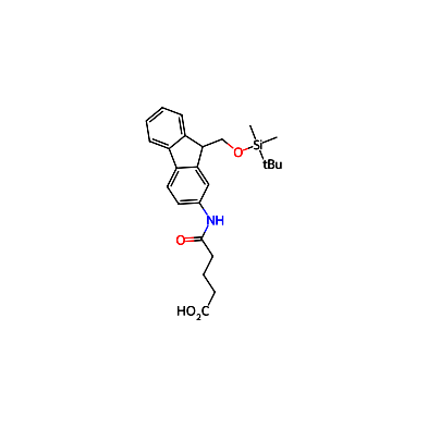 CC(C)(C)[Si](C)(C)OCC1c2ccccc2-c2ccc(NC(=O)CCCC(=O)O)cc21